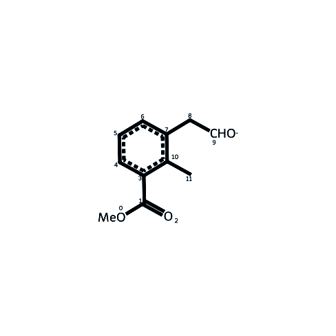 COC(=O)c1cccc(C[C]=O)c1C